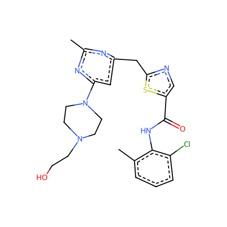 Cc1nc(Cc2ncc(C(=O)Nc3c(C)cccc3Cl)s2)cc(N2CCN(CCO)CC2)n1